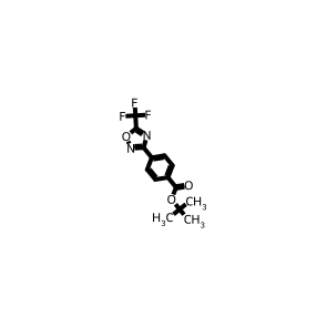 CC(C)(C)OC(=O)c1ccc(-c2noc(C(F)(F)F)n2)cc1